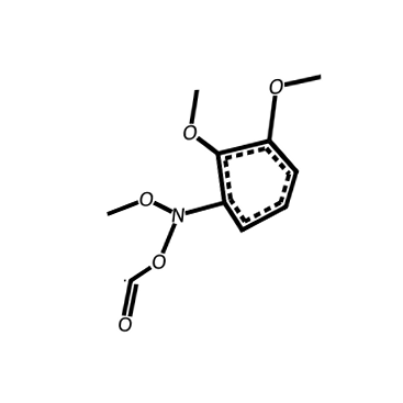 COc1cccc(N(OC)O[C]=O)c1OC